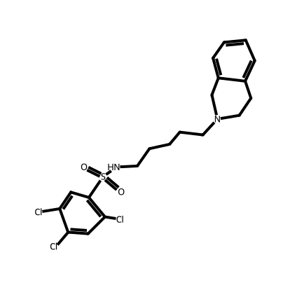 O=S(=O)(NCCCCCN1CCc2ccccc2C1)c1cc(Cl)c(Cl)cc1Cl